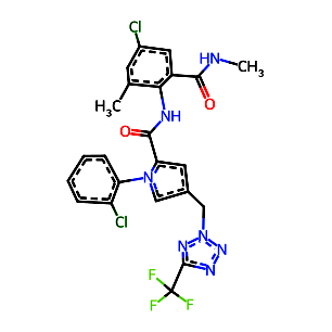 CNC(=O)c1cc(Cl)cc(C)c1NC(=O)c1cc(Cn2nnc(C(F)(F)F)n2)cn1-c1ccccc1Cl